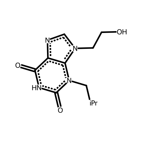 CC(C)Cn1c(=O)[nH]c(=O)c2ncn(CCO)c21